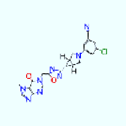 Cn1cnc2ncn(Cc3nc([C@@H]4[C@@H]5CN(c6cc(Cl)cc(C#N)c6)C[C@@H]54)no3)c(=O)c21